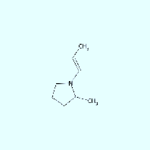 CC=CN1CCCC1C